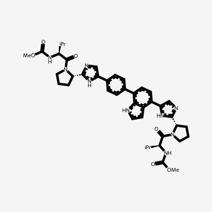 COC(=O)N[C@H](C(=O)N1CCC[C@H]1c1ncc(-c2ccc(-c3ccc(-c4cnc([C@@H]5CCCN5C(=O)[C@@H](NC(=O)OC)C(C)C)[nH]4)c4cc[nH]c34)cc2)[nH]1)C(C)C